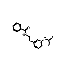 O=C(NCCc1cccc(OC(F)F)c1)c1ccccc1